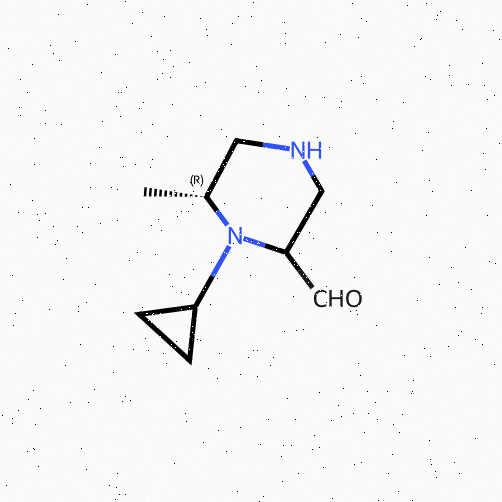 C[C@@H]1CNCC(C=O)N1C1CC1